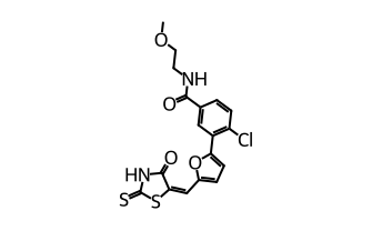 COCCNC(=O)c1ccc(Cl)c(-c2ccc(C=C3SC(=S)NC3=O)o2)c1